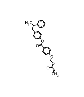 C=CC(=O)OCOc1ccc(C(=O)Oc2ccc(CC(C)c3ccccc3)cc2)cc1